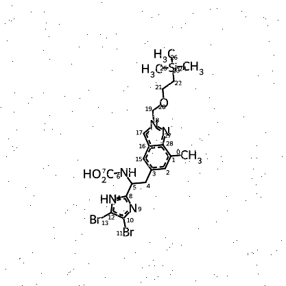 Cc1cc(CC(NC(=O)O)c2nc(Br)c(Br)[nH]2)cc2cn(COCC[Si](C)(C)C)nc12